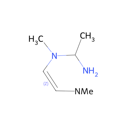 CN/C=C\N(C)C(C)N